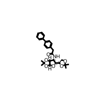 CC1(C)O[C@H]2O[C@H]([C@H]3COC(C)(C)O3)[C@@H](NC(=O)Cc3ccc(-c4ccccc4)cc3)[C@H]2O1